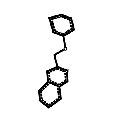 c1ccc(OCc2cc3ccccc3cn2)cc1